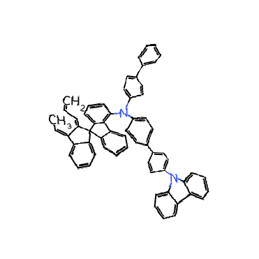 C=C/C=C1\C(=C/C)c2ccccc2C12c1ccccc1-c1c(N(c3ccc(-c4ccccc4)cc3)c3ccc(-c4ccc(-n5c6ccccc6c6ccccc65)cc4)cc3)cccc12